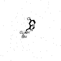 CC(C)(C)[S+]([O-])NCc1ncn2ccc(Cl)cc12